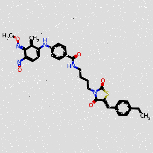 C=C1C(Nc2ccc(C(=O)NCCCCN3C(=O)S/C(=C\c4ccc(CC)cc4)C3=O)cc2)=CC=C(N=O)/C1=N/OC